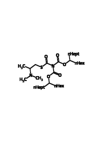 CCCCCCCC(CCCCCC)OC(=O)N(C(=O)OC(CCCCCC)CCCCCCC)C(=O)SCC(C)N(C)C